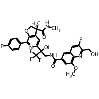 CNC(=O)C1(C)COc2c1cc(C(O)(CNC(=O)c1cc(OC)c3nc(CO)c(F)cc3c1)C(F)(F)F)nc2-c1ccc(F)cc1